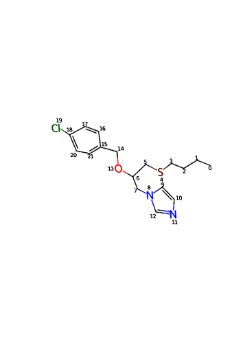 CCCCSCC(Cn1ccnc1)OCc1ccc(Cl)cc1